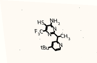 CC(c1cc(C(C)(C)C)ccn1)c1nc(N)c(S)c(C(F)(F)F)n1